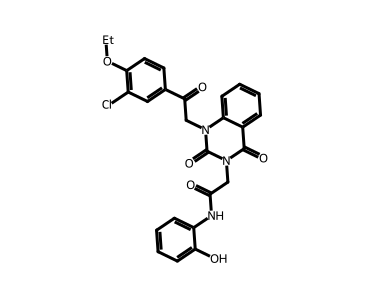 CCOc1ccc(C(=O)Cn2c(=O)n(CC(=O)Nc3ccccc3O)c(=O)c3ccccc32)cc1Cl